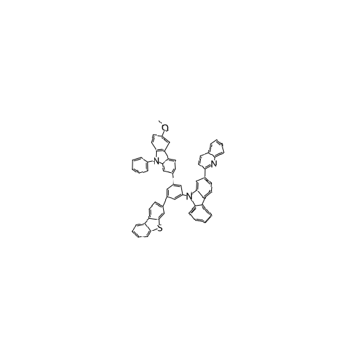 COc1ccc2c(c1)c1ccc(-c3cc(-c4ccc5c(c4)sc4ccccc45)cc(-n4c5ccccc5c5ccc(-c6ccc7ccccc7n6)cc54)c3)cc1n2-c1ccccc1